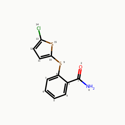 NC(=O)c1ccccc1Sc1ccc(Cl)s1